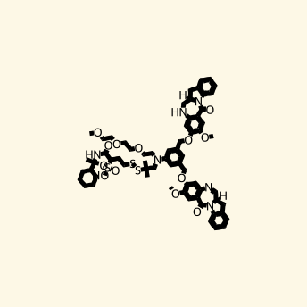 COCCOCCOCCN(CC(C)(C)SSCCC(C(=O)NC(C)(C)C1CCCCC1)S(=O)(=O)O)c1cc(COc2cc3c(cc2OC)C(=O)N2c4ccccc4C[C@H]2C=N3)cc(COc2cc3c(cc2OC)C(=O)N2c4ccccc4C[C@H]2CN3)c1